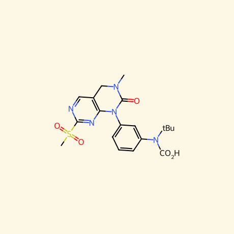 CN1Cc2cnc(S(C)(=O)=O)nc2N(c2cccc(N(C(=O)O)C(C)(C)C)c2)C1=O